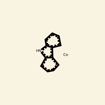 [Co].c1ccc2c(c1)[nH]c1ccccc12